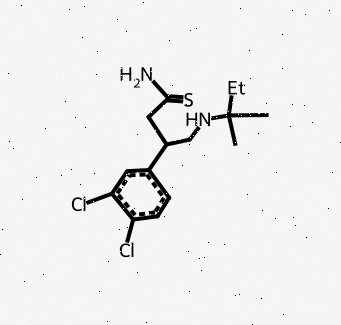 CCC(C)(C)NCC(CC(N)=S)c1ccc(Cl)c(Cl)c1